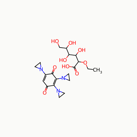 CCOC(C(=O)O)C(O)C(O)C(O)CO.O=C1C=C(N2CC2)C(=O)C(N2CC2)=C1N1CC1